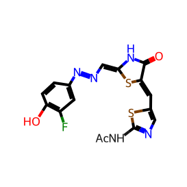 CC(=O)Nc1ncc(/C=c2\s/c(=C\N=Nc3ccc(O)c(F)c3)[nH]c2=O)s1